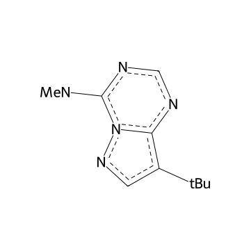 CNc1ncnc2c(C(C)(C)C)cnn12